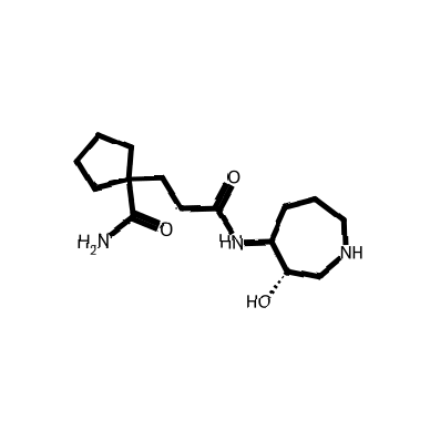 NC(=O)C1(C[CH]C(=O)NC2CCCNC[C@@H]2O)CCCC1